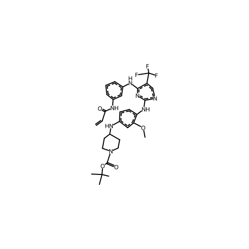 C=CC(=O)Nc1cccc(Nc2nc(Nc3ccc(NC4CCN(C(=O)OC(C)(C)C)CC4)cc3OC)ncc2C(F)(F)F)c1